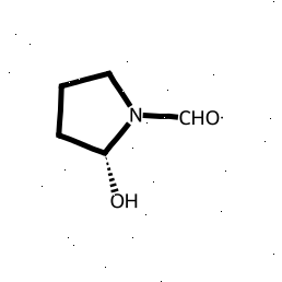 O=[C]N1CCC[C@H]1O